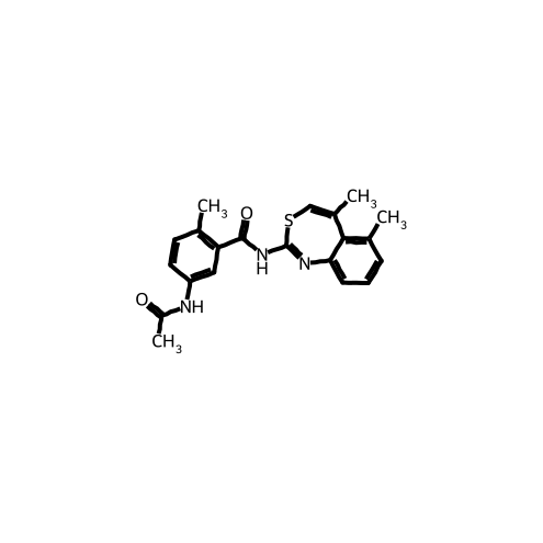 CC(=O)Nc1ccc(C)c(C(=O)NC2=Nc3cccc(C)c3C(C)=CS2)c1